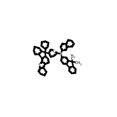 CC1(C)c2ccccc2-c2ccc(N(c3ccc(C4(c5ccccc5)c5ccccc5-c5c4ccc4c5sc5ccccc54)cc3)c3ccc4ccccc4c3)cc21